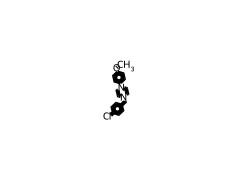 COc1ccc(N2CCN(Cc3ccc(Cl)cc3)CC2)cc1